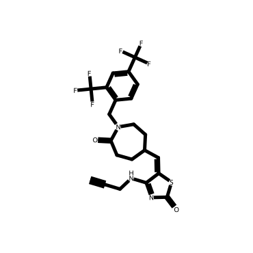 C#CCNC1=NC(=O)SC1=CC1CCC(=O)N(Cc2ccc(C(F)(F)F)cc2C(F)(F)F)CC1